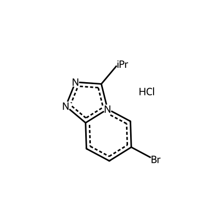 CC(C)c1nnc2ccc(Br)cn12.Cl